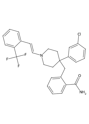 NC(=O)c1ccccc1CC1(c2cccc(Cl)c2)CCN(C=Cc2ccccc2C(F)(F)F)CC1